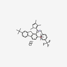 CC1=CC(C)[C](/[Zr+2](=[CH]/c2ccc(C(F)(F)F)cc2)[c]2c(C(C)(C)C)ccc3c2Cc2cc(C(C)(C)C)ccc2-3)=C1C.[Cl-].[Cl-]